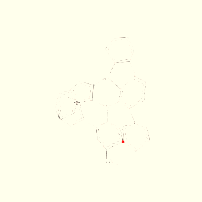 CC(C)(C)c1ccc(N2c3c(-c4ccccc4)ccc4c3B(c3ccccc3-4)c3sc4ccccc4c32)c(-c2ccccc2)c1